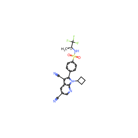 C[C@H](NS(=O)(=O)c1ccc(-c2c(C#N)c3cc(C#N)cnc3n2C2CCC2)cc1)C(F)(F)F